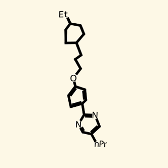 CCCc1cnc(-c2ccc(OCCCC3CCC(CC)CC3)cc2)nc1